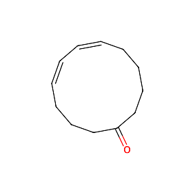 O=C1CCCC=CC=CCCCC1